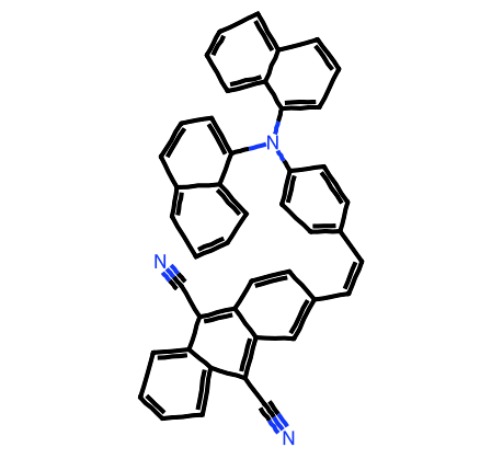 N#Cc1c2ccccc2c(C#N)c2cc(/C=C\c3ccc(N(c4cccc5ccccc45)c4cccc5ccccc45)cc3)ccc12